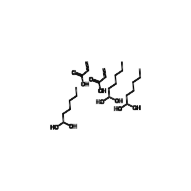 C=CC(=O)O.C=CC(=O)O.CCCCCC(O)O.CCCCCC(O)O.CCCCCC(O)O